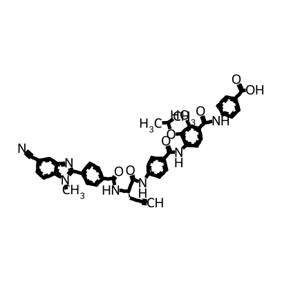 C#CC[C@H](NC(=O)c1ccc(-c2nc3cc(C#N)ccc3n2C)cc1)C(=O)Nc1ccc(C(=O)Nc2ccc(C(=O)Nc3ccc(C(=O)O)cc3)c(O)c2OC(C)C)cc1